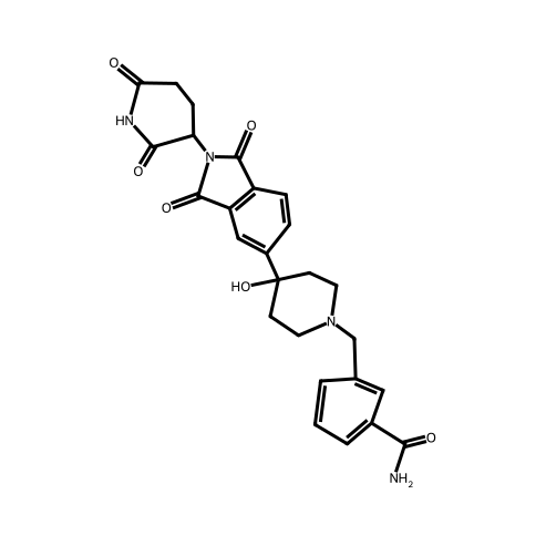 NC(=O)c1cccc(CN2CCC(O)(c3ccc4c(c3)C(=O)N(C3CCC(=O)NC3=O)C4=O)CC2)c1